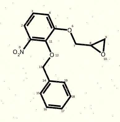 O=[N+]([O-])c1cccc(OCC2CO2)c1OCc1ccccc1